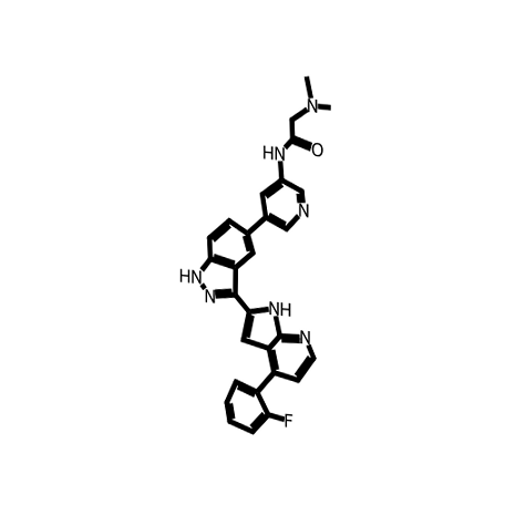 CN(C)CC(=O)Nc1cncc(-c2ccc3[nH]nc(-c4cc5c(-c6ccccc6F)ccnc5[nH]4)c3c2)c1